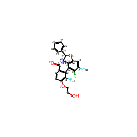 NC(=O)c1ccc(OCCO)c(F)c1-c1c(Cl)c(F)cc2c1CC(c1ccccc1)O2